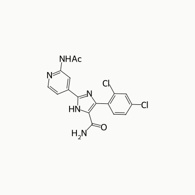 CC(=O)Nc1cc(-c2nc(-c3ccc(Cl)cc3Cl)c(C(N)=O)[nH]2)ccn1